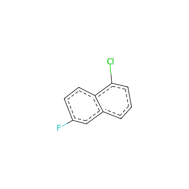 Fc1ccc2c(Cl)cccc2c1